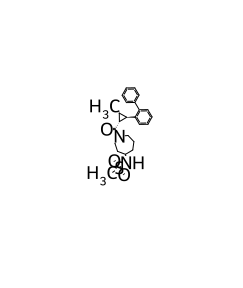 C[C@@H]1[C@@H](C(=O)N2CCC[C@@H](NS(C)(=O)=O)CC2)[C@@H]1c1ccccc1-c1ccccc1